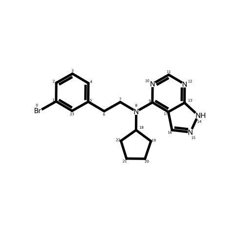 Brc1cccc(CCN(c2ncnc3[nH]ncc23)C2CCCC2)c1